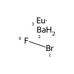 FBr.[BaH2].[Eu]